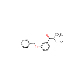 CCOC(=O)C(CC(C)=O)C(=O)c1cccc(OCc2ccccc2)c1